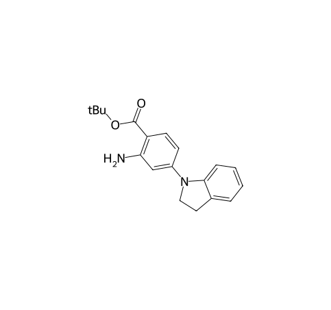 CC(C)(C)OC(=O)c1ccc(N2CCc3ccccc32)cc1N